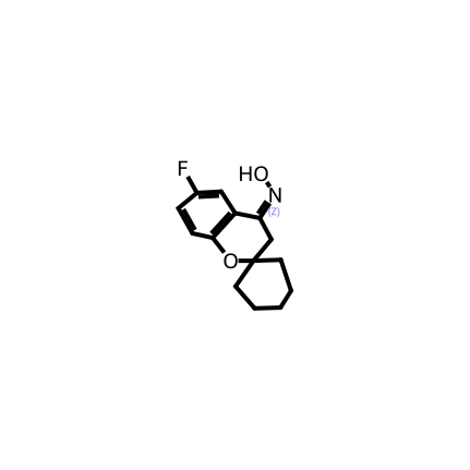 O/N=C1/CC2(CCCCC2)Oc2ccc(F)cc21